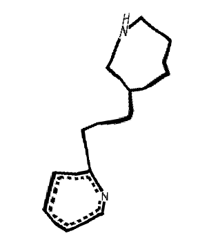 c1ccc(CCC2CCCNC2)nc1